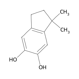 CC1(C)CCc2cc(O)c(O)cc21